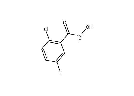 O=C(NO)c1cc(F)ccc1Cl